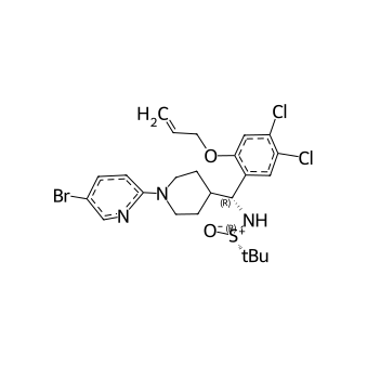 C=CCOc1cc(Cl)c(Cl)cc1[C@H](N[S@@+]([O-])C(C)(C)C)C1CCN(c2ccc(Br)cn2)CC1